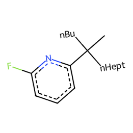 CCCCCCCC(C)(CCCC)c1cccc(F)n1